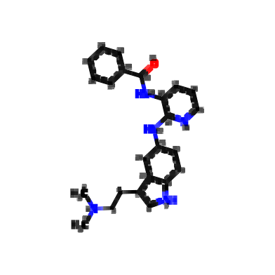 CN(C)CCc1c[nH]c2ccc(Nc3ncccc3NC(=O)c3ccccc3)cc12